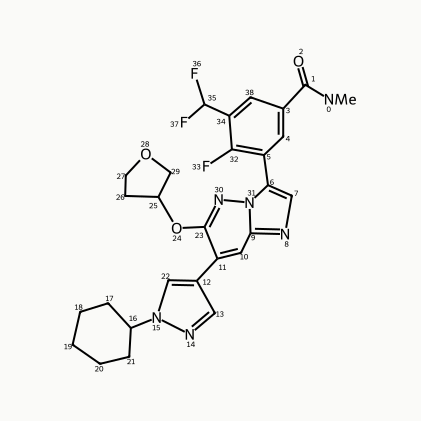 CNC(=O)c1cc(-c2cnc3cc(-c4cnn(C5CCCCC5)c4)c(OC4CCOC4)nn23)c(F)c(C(F)F)c1